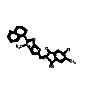 Cc1cc2c(cc1Cl)C(=O)/C(=C\c1cc3c(nc(-c4cccc5ccccc45)n3C)s1)C2=N